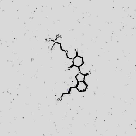 C[Si](C)(C)CCOCN1C(=O)CCC(N2Cc3c(/C=C/CO)cccc3C2=O)C1=O